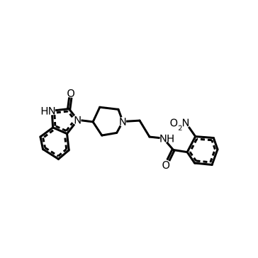 O=C(NCCN1CCC(n2c(=O)[nH]c3ccccc32)CC1)c1ccccc1[N+](=O)[O-]